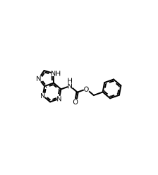 O=C(Nc1ncnc2nc[nH]c12)OCc1ccccc1